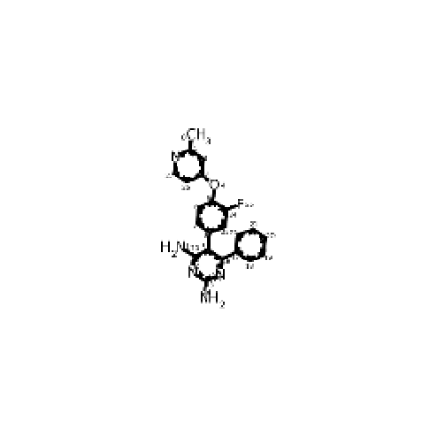 Cc1cc(Oc2ccc(-c3c(N)nc(N)nc3-c3ccccc3)cc2F)ccn1